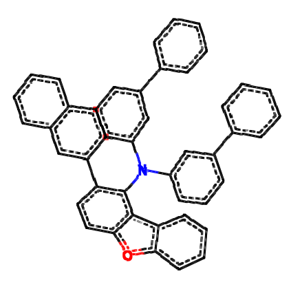 c1ccc(-c2cccc(N(c3cccc(-c4ccccc4)c3)c3c(-c4ccc5ccccc5c4)ccc4oc5ccccc5c34)c2)cc1